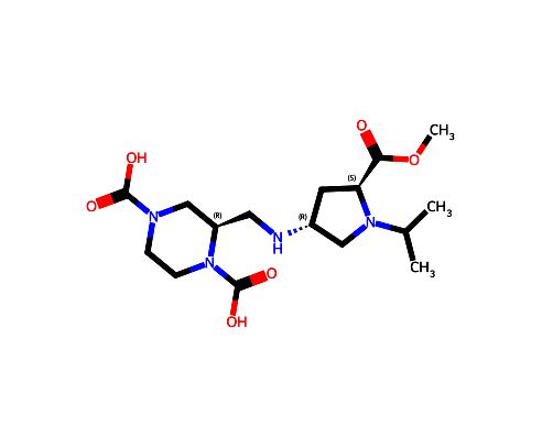 COC(=O)[C@@H]1C[C@@H](NC[C@@H]2CN(C(=O)O)CCN2C(=O)O)CN1C(C)C